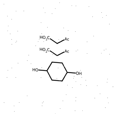 CC(=O)CC(=O)O.CC(=O)CC(=O)O.OC1CCC(O)CC1